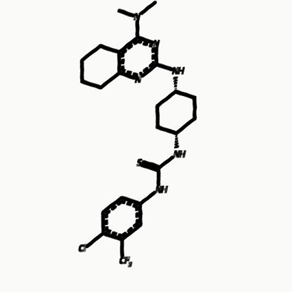 CN(C)c1nc(N[C@H]2CC[C@@H](NC(=S)Nc3ccc(Cl)c(C(F)(F)F)c3)CC2)nc2c1CCCC2